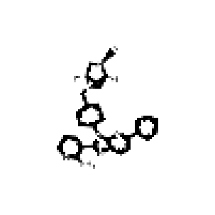 N#CN1C[C@H]2C[C@@H]1CN2Cc1ccc(-n2c(-c3cccnc3N)nc3ccc(-c4ccccc4)nc32)cc1